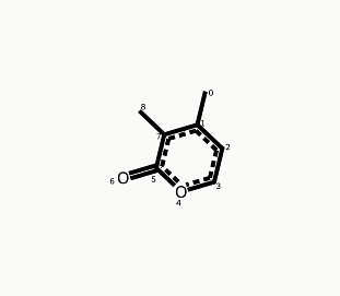 Cc1ccoc(=O)c1C